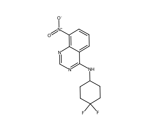 O=[N+]([O-])c1cccc2c(NC3CCC(F)(F)CC3)ncnc12